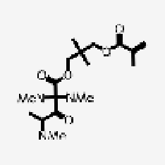 C=C(C)C(=O)OCC(C)(C)COC(=O)C(NC)(NC)C(=O)C(C)NC